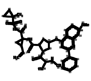 C=CC1CC1(NC(=O)C1CC(Oc2cc(-c3ccccc3)nc3cc(OC)ccc23)CN1C(=O)C(NC(=O)O)C(C)(C)C)C(=O)NS(=O)(=O)C1(C)CC1